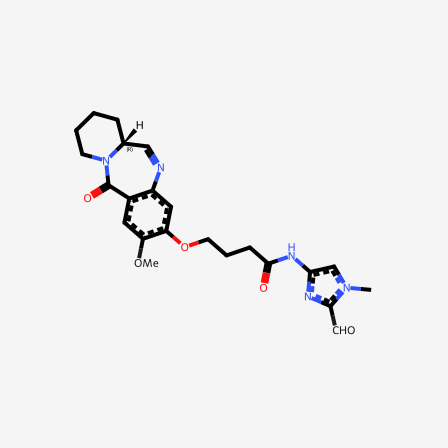 COc1cc2c(cc1OCCCC(=O)Nc1cn(C)c(C=O)n1)N=C[C@H]1CCCCN1C2=O